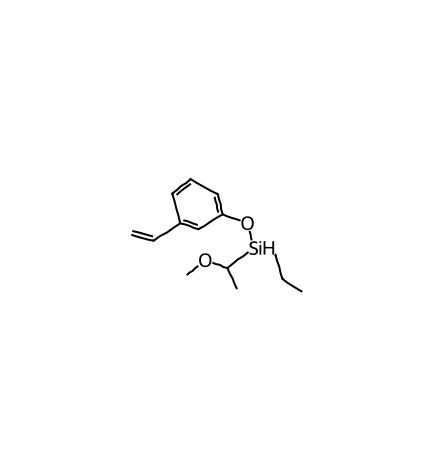 C=Cc1cccc(O[SiH](CCC)C(C)OC)c1